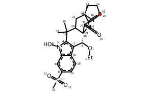 CCOC1c2c(n(O)c3cc(S(C)(=O)=O)ccc23)C(C)(C)C2C[C@]34CCCN3C(=O)[C@]12NC4=O